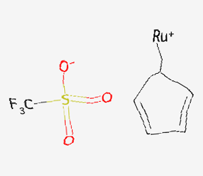 O=S(=O)([O-])C(F)(F)F.[Ru+][CH]1C=CC=C1